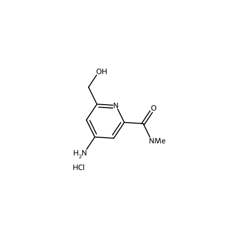 CNC(=O)c1cc(N)cc(CO)n1.Cl